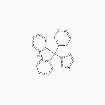 Nc1ccccc1C(c1ccccc1)(c1ccccc1)n1ccnc1